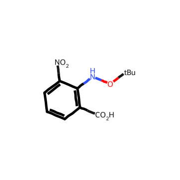 CC(C)(C)ONc1c(C(=O)O)cccc1[N+](=O)[O-]